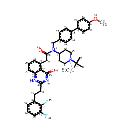 CCOC(=O)C(C)(C)N1CCC(N(Cc2ccc(-c3ccc(OC(F)(F)F)cc3)cc2)C(=O)Cc2cccc3[nH]c(CCc4cccc(F)c4F)nc(=O)c23)CC1